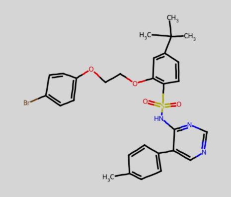 Cc1ccc(-c2cncnc2NS(=O)(=O)c2ccc(C(C)(C)C)cc2OCCOc2ccc(Br)cc2)cc1